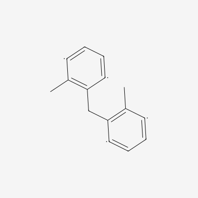 Cc1[c]cc[c]c1Cc1[c]cc[c]c1C